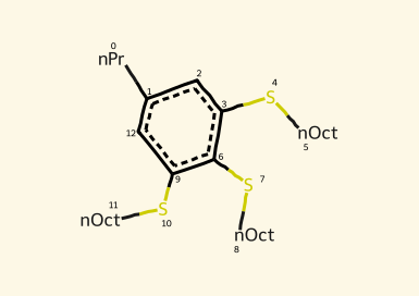 [CH2]CCc1cc(SCCCCCCCC)c(SCCCCCCCC)c(SCCCCCCCC)c1